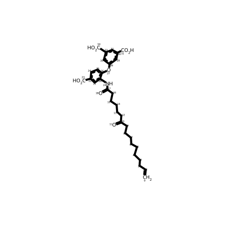 C=CCCCCCCCCC(=O)CCCCCC(=O)Nc1cc(C(=O)O)ccc1Oc1cc(C(=O)O)cc(C(=O)O)c1